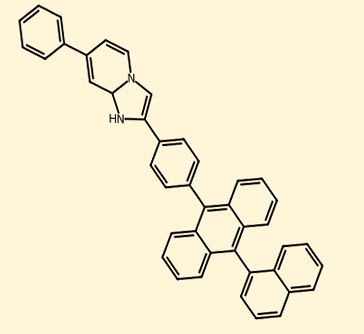 C1=CN2C=C(c3ccc(-c4c5ccccc5c(-c5cccc6ccccc56)c5ccccc45)cc3)NC2C=C1c1ccccc1